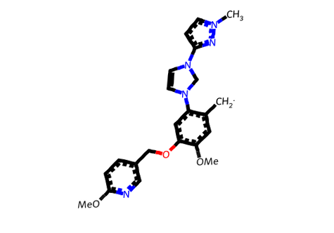 [CH2]c1cc(OC)c(OCc2ccc(OC)nc2)cc1N1C=CN(c2ccn(C)n2)C1